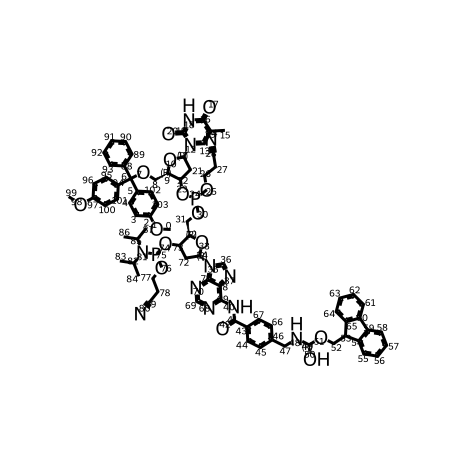 COc1ccc(C(OC[C@H]2O[C@@H](n3cc(C)c(=O)[nH]c3=O)CC2OP(OCCC#N)OC[C@H]2O[C@@H](n3cnc4c(NC(=O)c5ccc(CN[C@H](O)OCC6c7ccccc7-c7ccccc76)cc5)ncnc43)CC2OP(OCCC#N)N(C(C)C)C(C)C)(c2ccccc2)c2ccc(OC)cc2)cc1